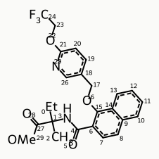 CCC(C)(NC(=O)c1ccc2ccccc2c1OCc1ccc(OCC(F)(F)F)nc1)C(=O)OC